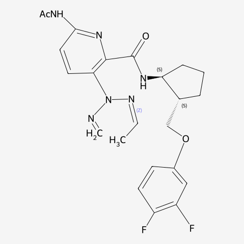 C=NN(/N=C\C)c1ccc(NC(C)=O)nc1C(=O)N[C@H]1CCC[C@@H]1COc1ccc(F)c(F)c1